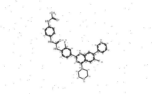 CC(=O)Nc1ccc(NC(=O)Nc2ccc(-c3nc(N4CCOCC4)c4cc(F)c(-c5cccnc5)cc4n3)cc2F)cc1